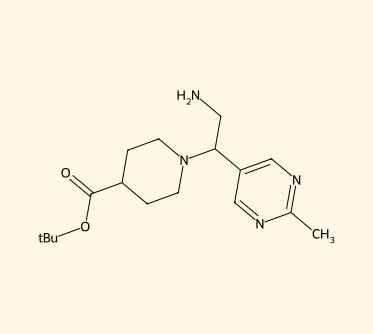 Cc1ncc(C(CN)N2CCC(C(=O)OC(C)(C)C)CC2)cn1